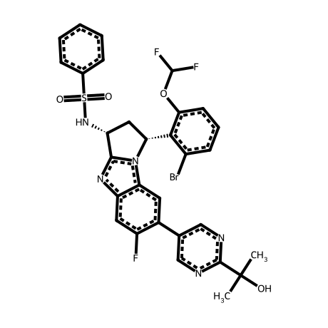 CC(C)(O)c1ncc(-c2cc3c(cc2F)nc2n3[C@@H](c3c(Br)cccc3OC(F)F)C[C@H]2NS(=O)(=O)c2ccccc2)cn1